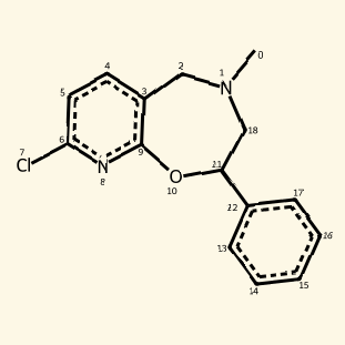 CN1Cc2ccc(Cl)nc2OC(c2ccccc2)C1